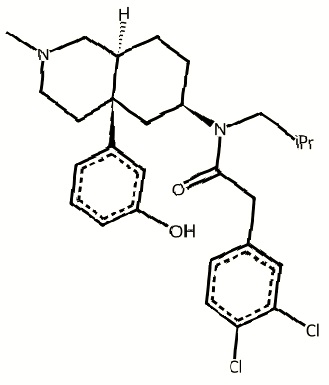 CC(C)CN(C(=O)Cc1ccc(Cl)c(Cl)c1)[C@@H]1CC[C@@H]2CN(C)CC[C@@]2(c2cccc(O)c2)C1